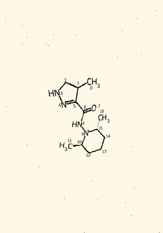 CC1CNN=C1C(=O)NN1[C@H](C)CCC[C@H]1C